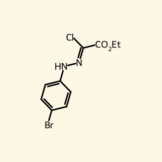 CCOC(=O)/C(Cl)=N/Nc1ccc(Br)cc1